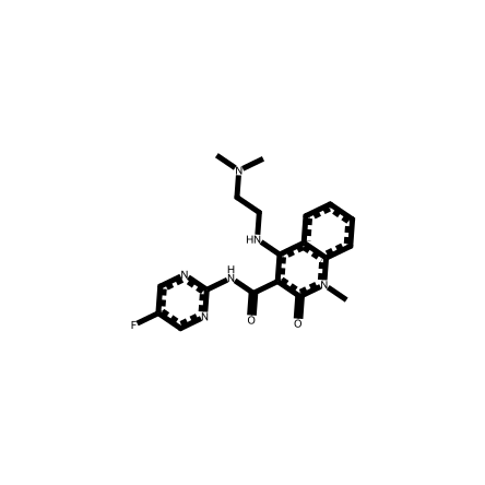 CN(C)CCNc1c(C(=O)Nc2ncc(F)cn2)c(=O)n(C)c2ccccc12